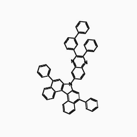 c1ccc(-c2cccc(-c3nc4cc(-n5c6cc(-c7ccccc7)c7ccccc7c6c6c7ccccc7c(-c7ccccc7)cc65)ccc4nc3-c3ccccc3)c2)cc1